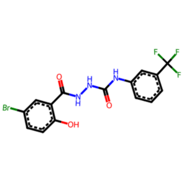 O=C(NNC(=O)c1cc(Br)ccc1O)Nc1cccc(C(F)(F)F)c1